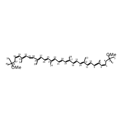 COC(C)(C)C\C=C/C(C)=C/C=C/C(C)=C/C=C/C(C)=C/C=C/C=C(C)/C=C/C=C(C)/C=C/C=C(C)/C=C\CC(C)(C)OC